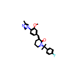 COc1cc(C=C2CCCN(C(C)(C)c3ccc(F)cc3)C2=O)ccc1-n1cnc(C)c1